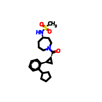 CS(=O)(=O)N[C@H]1CCCN(C(=O)[C@@H]2C[C@H]2c2ccccc2C2CCCC2)CC1